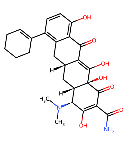 CN(C)[C@@H]1C(O)=C(C(N)=O)C(=O)[C@@]2(O)C(O)=C3C(=O)c4c(O)ccc(C5=CCCCC5)c4C[C@H]3C[C@@H]12